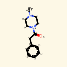 CC(C)N1CCN(C(=O)Cc2ccccc2)CC1